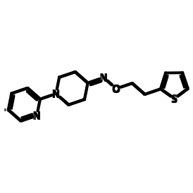 [c]1ccc(N2CCC(=NOCCc3cccs3)CC2)nc1